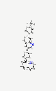 C[Si](C)(C)c1ccc(-c2ccc3cc(-c4ccc(-c5cccc6cccnc56)cc4)cnc3c2)cc1